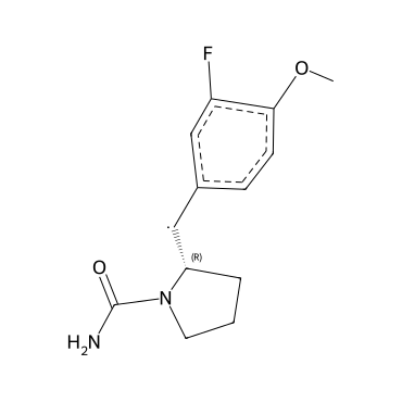 COc1ccc([CH][C@@H]2CCCN2C(N)=O)cc1F